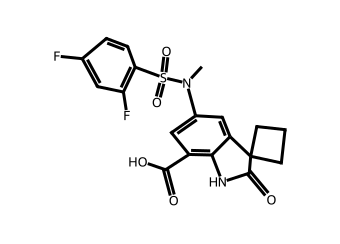 CN(c1cc(C(=O)O)c2c(c1)C1(CCC1)C(=O)N2)S(=O)(=O)c1ccc(F)cc1F